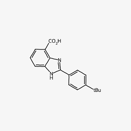 CC(C)(C)c1ccc(-c2nc3c(C(=O)O)cccc3[nH]2)cc1